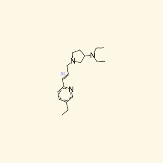 CCc1ccc(/C=C/CN2CCC(N(CC)CC)C2)nc1